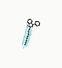 FC(F)(F)C(F)(F)C(F)(F)C(F)(F)C(F)(F)C(F)(F)C(F)(F)C(F)(F)c1cc(-c2ccccc2)c2ccccc2n1